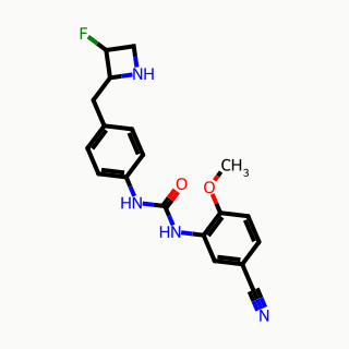 COc1ccc(C#N)cc1NC(=O)Nc1ccc(CC2NCC2F)cc1